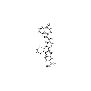 O=C(O)c1ccc2c(c1)nc(-c1ccc(C(=O)Nc3ccc(Cl)c4ccccc34)cc1)n2C1CCCCC1